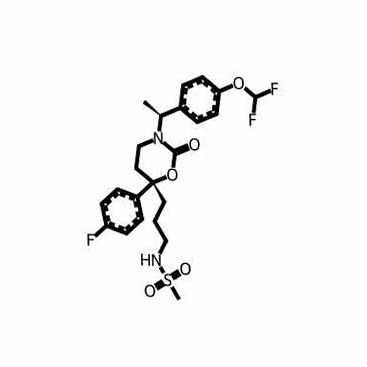 C[C@@H](c1ccc(OC(F)F)cc1)N1CC[C@@](CCCNS(C)(=O)=O)(c2ccc(F)cc2)OC1=O